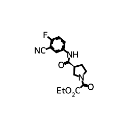 CCOC(=O)C(=O)N1CC[C@H](C(=O)Nc2ccc(F)c(C#N)c2)C1